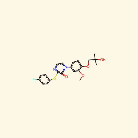 COc1cc(-n2ccnc(Sc3ccc(F)cc3)c2=O)ccc1OCC(C)(C)O